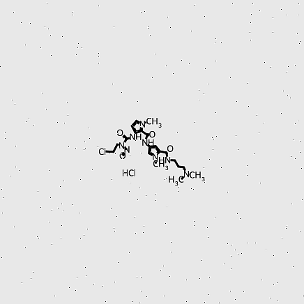 CN(C)CCCNC(=O)c1cc(NC(=O)c2c(NC(=O)N(CCCl)N=O)ccn2C)cn1C.Cl